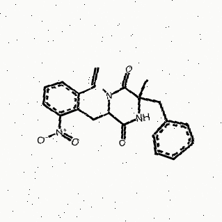 C=Cc1cccc([N+](=O)[O-])c1CC1C(=O)NC(C)(Cc2ccccc2)C(=O)N1C